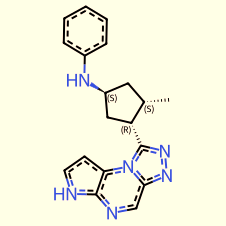 C[C@H]1C[C@H](Nc2ccccc2)C[C@H]1c1nnc2cnc3[nH]ccc3n12